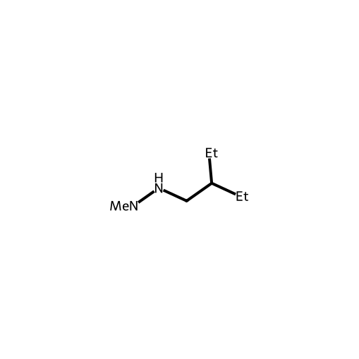 CCC(CC)CNNC